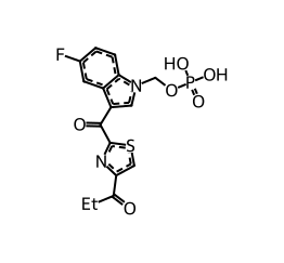 CCC(=O)c1csc(C(=O)c2cn(COP(=O)(O)O)c3ccc(F)cc23)n1